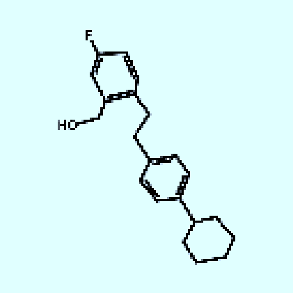 OCc1cc(F)ccc1CCc1ccc(C2CCCCC2)cc1